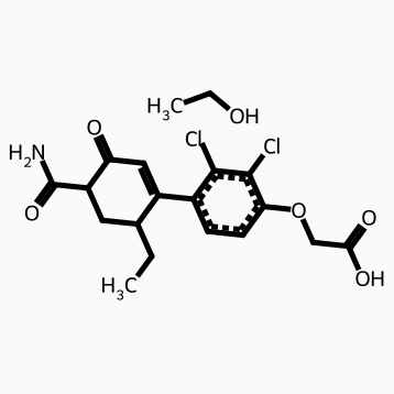 CCC1CC(C(N)=O)C(=O)C=C1c1ccc(OCC(=O)O)c(Cl)c1Cl.CCO